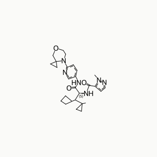 Cn1nccc1C(=O)N[C@H](C(=O)Nc1ccc(N2CCOCC23CC3)nc1)C(C1CCC1)C1(C)CC1